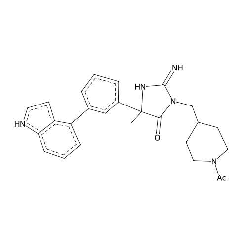 CC(=O)N1CCC(CN2C(=N)NC(C)(c3cccc(-c4cccc5[nH]ccc45)c3)C2=O)CC1